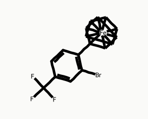 FC(F)(F)c1ccc([C]23[CH]4[CH]5[CH]6[CH]2[Fe]56432789[CH]3[CH]2[CH]7[CH]8[CH]39)c(Br)c1